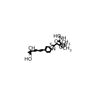 C[C@@]1(C#CC#Cc2ccc3nc(CC[C@](C)(C(=O)NO)S(C)(=O)=O)sc3c2)C[C@H]1CO